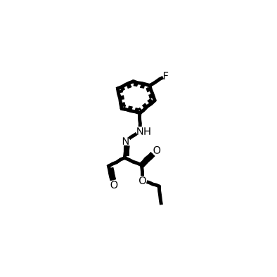 CCOC(=O)/C(C=O)=N\Nc1cccc(F)c1